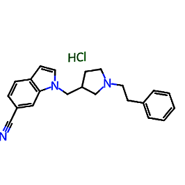 Cl.N#Cc1ccc2ccn(CC3CCN(CCc4ccccc4)C3)c2c1